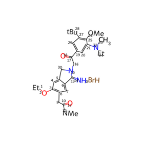 Br.CCOc1cc2c(cc1CC(=O)NC)C(=N)N(CC(=O)c1cc(N(C)CC)c(OC)c(C(C)(C)C)c1)C2